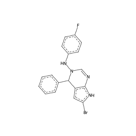 Fc1ccc(NN2C=Nc3[nH]c(Br)cc3C2c2ccccc2)cc1